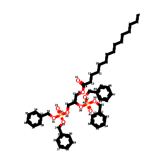 CCCCCCCCCCCCCCC(=O)OCC(COP(=O)(OCc1ccccc1)OCc1ccccc1)OP(=O)(OCc1ccccc1)OCc1ccccc1